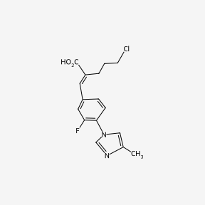 Cc1cn(-c2ccc(C=C(CCCCl)C(=O)O)cc2F)cn1